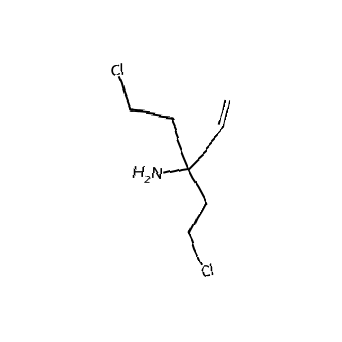 C=CC(N)(CCCl)CCCl